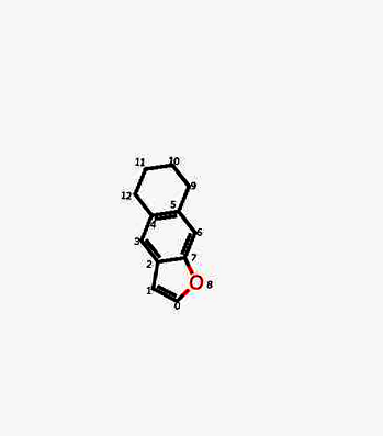 c1cc2cc3c(cc2o1)CCCC3